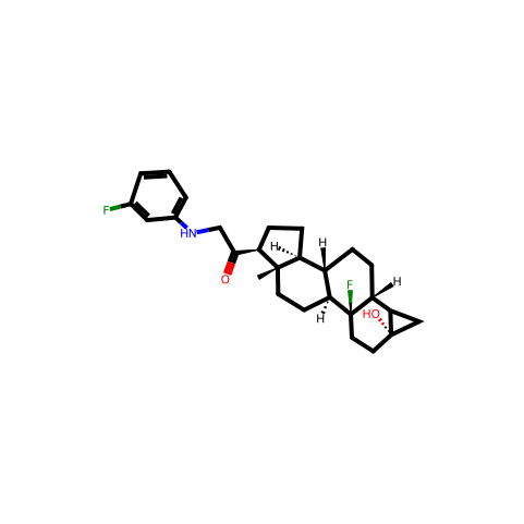 C[C@]12CC[C@H]3[C@@H](CC[C@@H]4C5C[C@@]5(O)CC[C@@]43F)[C@@H]1CC[C@@H]2C(=O)CNc1cccc(F)c1